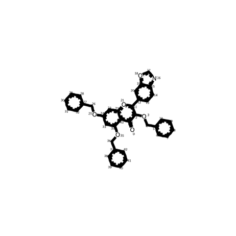 O=c1c(OCc2ccccc2)c(-c2ccc3ncoc3c2)oc2cc(OCc3ccccc3)cc(OCc3ccccc3)c12